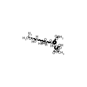 BC(=O)OCc1ccc(OC2CC(OC=O)[C@H](OC(C)=O)C(C(=O)O)O2)c(NC(=O)CCNC(=O)C(CCCCNC(=O)CPCOC(C)C)NS)c1